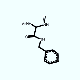 CCNC(NC(C)=O)C(=O)NCc1ccccc1